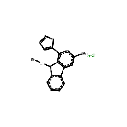 C[CH](C)[Zr+2][CH]1c2ccccc2-c2cc(C(C)(C)C)cc(C3=CC=CC3)c21.[Cl-].[Cl-]